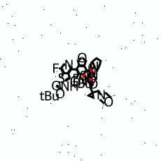 C[C@@H]1CN(CC2(COc3nc(N4C5CCC4CN(C(=O)OC(C)(C)C)C5)c4c5c(c(-c6ncc(F)c7sc(NC(=O)OC(C)(C)C)c(C#N)c67)c(F)c4n3)COC5)CC2)C[C@H](C)O1